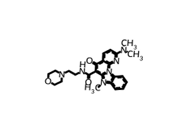 CN(C)c1ccc2c(=O)c(C(=O)NCCN3CCOCC3)c3n(C)c4ccccc4n3c2n1